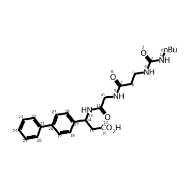 CCCCNC(=O)NCCC(=O)NCC(=O)NC(CC(=O)O)c1ccc(-c2ccccc2)cc1